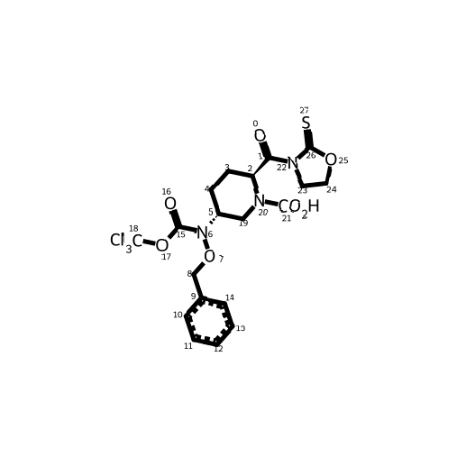 O=C([C@@H]1CC[C@@H](N(OCc2ccccc2)C(=O)OC(Cl)(Cl)Cl)CN1C(=O)O)N1CCOC1=S